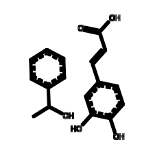 CC(O)c1ccccc1.O=C(O)C=Cc1ccc(O)c(O)c1